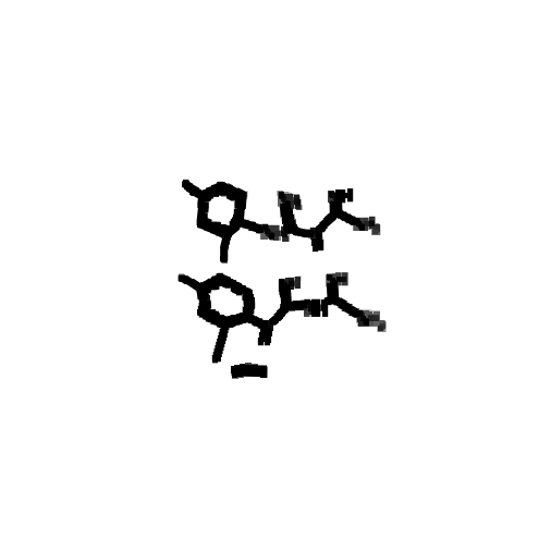 C=C.Cc1ccc(NC(=N)NC(=N)N)c(C)c1.Cc1ccc(NC(=N)NC(=N)N)c(C)c1